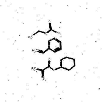 C=C(C)C(=O)OC1CCCCC1.C=Cc1ccccc1.CCOC(N)=O